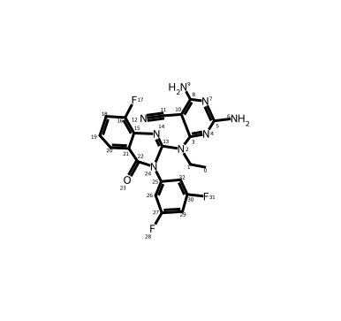 CCN(c1nc(N)nc(N)c1C#N)c1nc2c(F)cccc2c(=O)n1-c1cc(F)cc(F)c1